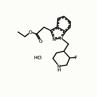 CCOC(=O)Cc1nn(CC2CCNCC2F)c2ccccc12.Cl